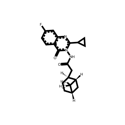 CC1(C)[C@H]2CC[C@@H](CC(=O)Nn3c(C4CC4)nc4cc(F)ccc4c3=O)[C@@H]1C2